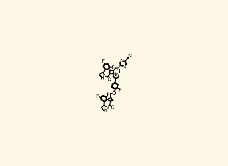 N#Cc1cnc(N(Cn2cc(-c3ccc(OCC45CC(C(=O)N6N=CCC6c6cc(F)cc(F)c6)(C4)C5)c(F)c3)cn2)CC23CC(C(=O)N4N=CCC4c4cc(F)cc(F)c4)(C2)C3)cn1